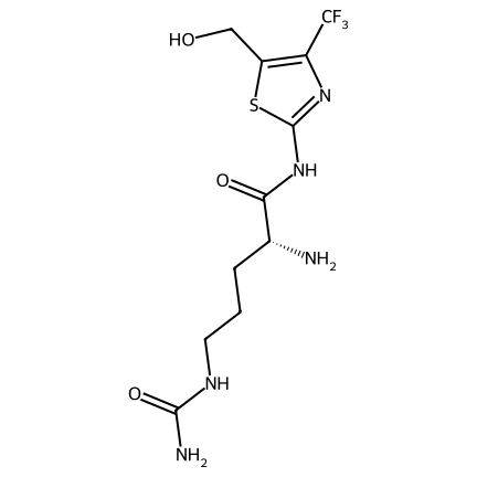 NC(=O)NCCC[C@@H](N)C(=O)Nc1nc(C(F)(F)F)c(CO)s1